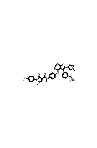 CN(C)Cc1cccc(-c2c(-c3cnn(C)c3)oc3ncnc(Oc4ccc(NC(=O)c5cn(C)n(-c6ccc(C(F)(F)F)cc6)c5=O)cc4)c23)c1